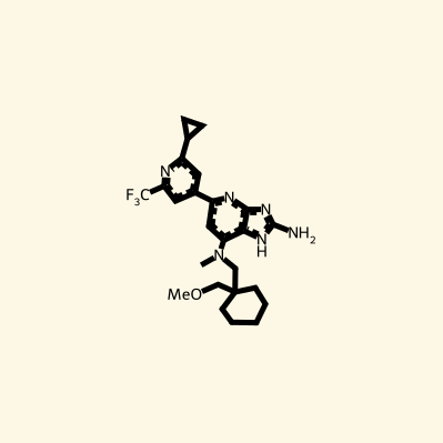 COCC1(CN(C)c2cc(-c3cc(C4CC4)nc(C(F)(F)F)c3)nc3nc(N)[nH]c23)CCCCC1